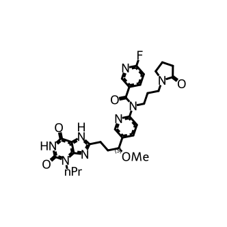 CCCn1c(=O)[nH]c(=O)c2[nH]c(CC[C@H](OC)c3ccc(N(CCCN4CCCC4=O)C(=O)c4ccc(F)nc4)nc3)nc21